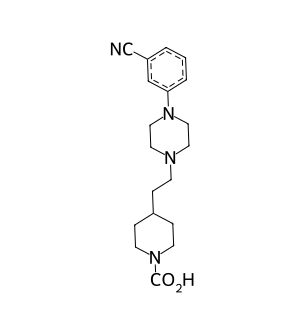 N#Cc1cccc(N2CCN(CCC3CCN(C(=O)O)CC3)CC2)c1